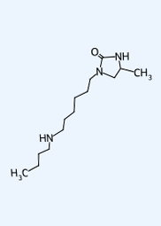 CCCCNCCCCCCN1CC(C)NC1=O